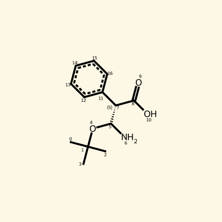 CC(C)(C)OC(N)[C@@H](C(=O)O)c1ccccc1